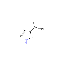 CCCC(C)C1C=CNC1